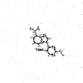 CSc1ncc(C#N)c(-c2cnc3c(C(F)F)cccn23)n1